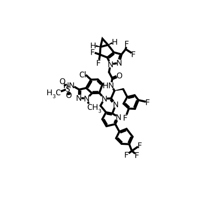 Cn1nc(NS(C)(=O)=O)c2c(Cl)ccc(N3Cc4ccc(-c5ccc(C(F)(F)F)cc5)nc4N=C3[C@H](Cc3cc(F)cc(F)c3)NC(=O)Cn3nc(C(F)F)c4c3C(F)(F)[C@@H]3C[C@H]43)c21